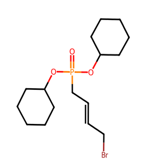 O=P(CC=CCBr)(OC1CCCCC1)OC1CCCCC1